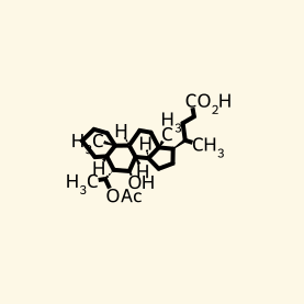 CC(=O)OC(C)[C@H]1[C@@H](O)[C@@H]2[C@H](CC[C@]3(C)[C@@H](C(C)CCC(=O)O)CC[C@@H]23)[C@@]2(C)CCCC[C@@H]12